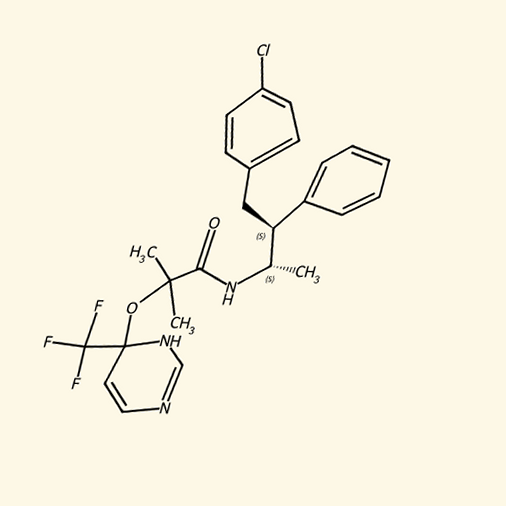 C[C@H](NC(=O)C(C)(C)OC1(C(F)(F)F)C=CN=CN1)[C@@H](Cc1ccc(Cl)cc1)c1ccccc1